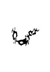 O=C(c1ccc2ncc(-c3ccc4nncn4c3)nc2c1)N1CCC(F)(F)CC1